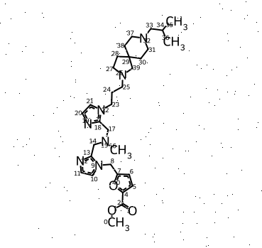 COC(=O)c1ccc(Cn2ccnc2CN(C)Cc2nccn2CCCN2CCC3(CCN(CC(C)C)CC3)C2)o1